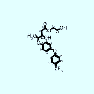 CC(Oc1ccc(Oc2ccc(C(F)(F)F)cc2)cc1)C(O)CC(=O)OCCO